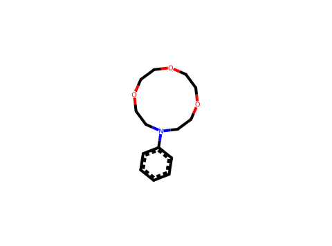 c1ccc(N2CCOCCOCCOCC2)cc1